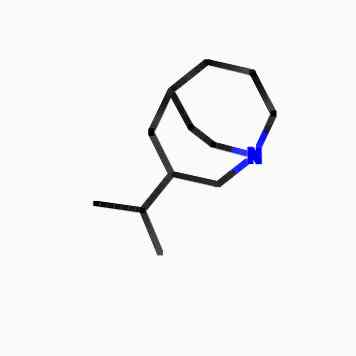 CC(C)C1CC2CCCN(CC2)C1